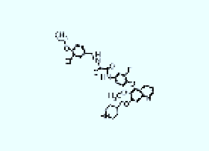 CCCOc1ccc(CCNC(=O)C(=O)Nc2ccc(Oc3c(OC)c(OCC4CCNCC4)cc4ncccc34)c(F)c2)cc1Cl